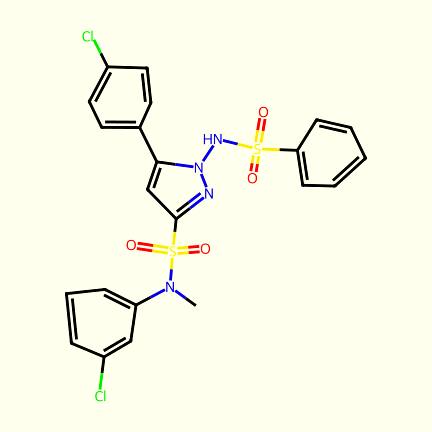 CN(c1cccc(Cl)c1)S(=O)(=O)c1cc(-c2ccc(Cl)cc2)n(NS(=O)(=O)c2ccccc2)n1